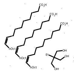 CCC(CO)(CO)CO.CCCCCCCC/C=C\CCCCCCCC(=O)O.CCCCCCCC/C=C\CCCCCCCC(=O)O.CCCCCCCC/C=C\CCCCCCCC(=O)O